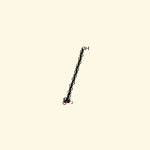 NC(=O)[C@@H]1CCCN1C(=O)CCOCCOCCOCCOCCOCCOCCOCCOCCOCCOCCOCCOCCOCCOCCO